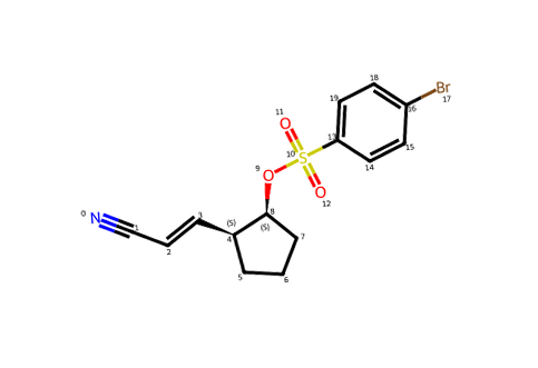 N#CC=C[C@@H]1CCC[C@@H]1OS(=O)(=O)c1ccc(Br)cc1